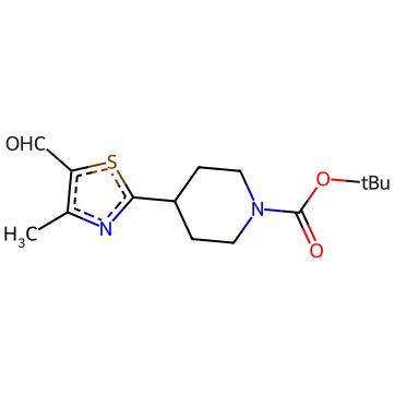 Cc1nc(C2CCN(C(=O)OC(C)(C)C)CC2)sc1C=O